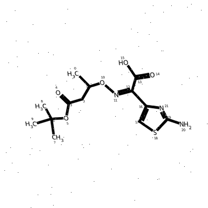 CC(CC(=O)OC(C)(C)C)ON=C(C(=O)O)c1csc(N)n1